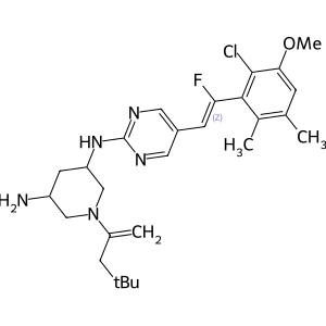 C=C(CC(C)(C)C)N1CC(N)CC(Nc2ncc(/C=C(\F)c3c(C)c(C)cc(OC)c3Cl)cn2)C1